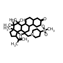 C=C(C)C1CCC2(C)C1(NCCN1CCC(S(C)(=O)=O)CC1)C1CCC3C4CCC(=O)CC4CCC3C1C(C)(C)C2(C)C